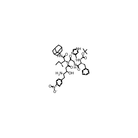 CC[C@H](C)[C@@H](C(=O)NC12CC3CC(CC(C3)C1)C2)N(C(=O)CC(O)[C@@H](N)Cc1ccc([N+](=O)[O-])cc1)C(=O)[C@H](Cc1c[nH]cn1)NC(=O)[C@H](Cc1ccccc1)NC(=O)OC(C)(C)C